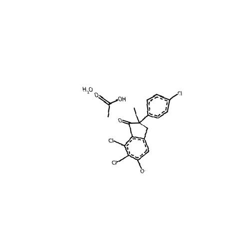 CC(=O)O.CC1(c2ccc(Cl)cc2)Cc2cc([O])c(Cl)c(Cl)c2C1=O.O